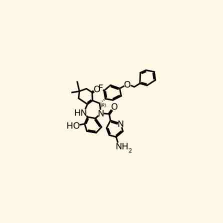 CC1(C)CC(=O)C2=C(C1)Nc1c(O)cccc1N(C(=O)c1ccc(N)cn1)[C@H]2c1ccc(OCc2ccccc2)cc1F